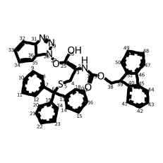 O=C(N/C(CSC(c1ccccc1)(c1ccccc1)c1ccccc1)=C(\O)ON1N=NC2C=CC=CC21)OCC1c2ccccc2-c2ccccc21